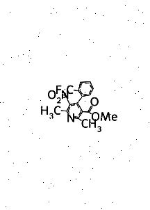 COC(=O)c1c(C)nc(C)c([N+](=O)[O-])c1-c1ccccc1C(F)(F)F